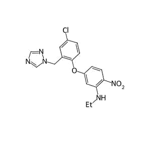 CCNc1cc(Oc2ccc(Cl)cc2Cn2cncn2)ccc1[N+](=O)[O-]